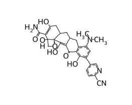 CN(C)c1cc(-c2ccc(C#N)nc2)c(O)c2c1CC1CC3CC(O)=C(C(N)=O)C4(O)CO[C@]34C(O)=C1C2=O